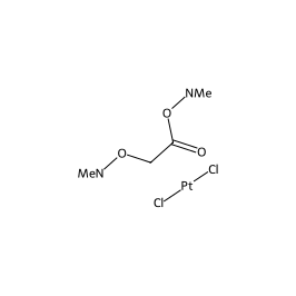 CNOCC(=O)ONC.[Cl][Pt][Cl]